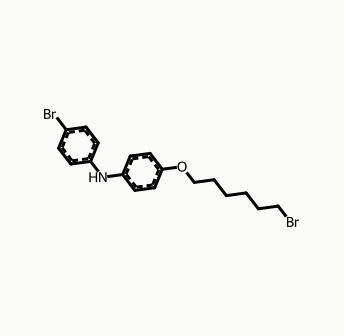 BrCCCCCCOc1ccc(Nc2ccc(Br)cc2)cc1